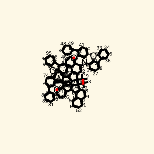 CC(C)(C)C1(C2(C(C)(C)C)c3ccc4ccccc4c3-c3c2cc(N(c2cccc4c2oc2ccccc24)c2cccc4c2oc2ccccc24)c2ccccc32)c2ccc3ccccc3c2-c2c1cc(N(c1cccc3c1oc1ccccc13)c1cccc3c1oc1ccccc13)c1ccccc21